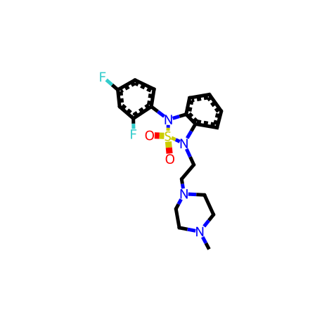 CN1CCN(CCN2c3ccccc3N(c3ccc(F)cc3F)S2(=O)=O)CC1